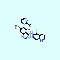 C[C@@H](Oc1cc(Br)cc2ncnc(Nc3ccc4ncccc4c3F)c12)c1ncccn1